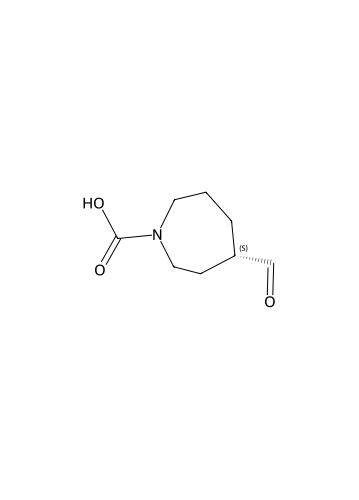 O=C[C@H]1CCCN(C(=O)O)CC1